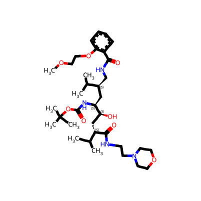 COCCOc1ccccc1C(=O)NC[C@@H](C[C@H](NC(=O)OC(C)(C)C)[C@@H](O)C[C@H](C(=O)NCCN1CCOCC1)C(C)C)C(C)C